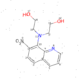 O=[N+]([O-])c1ccc2cccnc2c1N(CCO)CCO